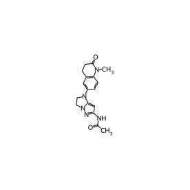 CC(=O)Nc1cc2n(n1)CCN2c1ccc2c(c1)CCC(=O)N2C